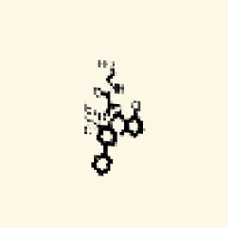 CS(=O)(=O)c1cc(-c2ccccc2)ccc1-n1cc(C(=O)NCCO)nc1-c1c(Cl)cccc1Cl